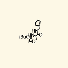 CC(C)COC(=O)NC(CO)C(=O)NCc1ccccc1